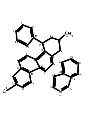 CC1Cc2ccc3c(ccc4cc(Cl)ccc43)c2C(c2ccccc2)C1.c1ccc2cnccc2c1